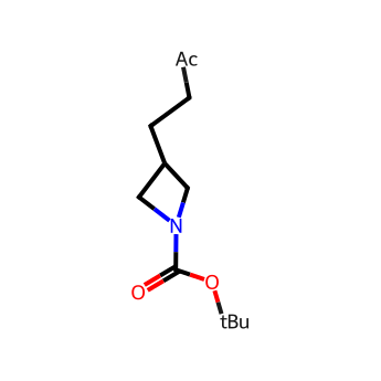 CC(=O)CCC1CN(C(=O)OC(C)(C)C)C1